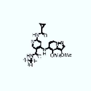 [2H]C([2H])([2H])NC(=O)c1cnc(NC(=O)C2CC2)cc1Nc1ccn2ncc(OC)c2c1OC